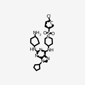 NC1CCC(Nc2nc(NC3CCN(S(=O)(=O)c4ccc(Cl)cc4)CC3)c3ncn(C4CCCC4)c3n2)CC1